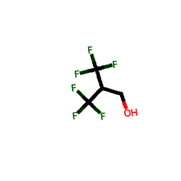 OC[C](C(F)(F)F)C(F)(F)F